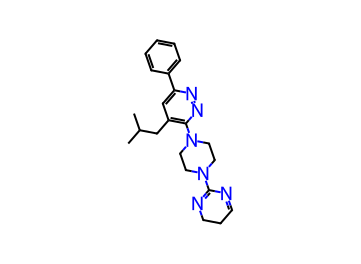 CC(C)Cc1cc(-c2ccccc2)nnc1N1CCN(C2=NCCC=N2)CC1